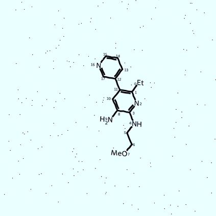 CCc1nc(NCCOC)c(N)cc1-c1cccnc1